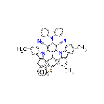 Cc1ccc2c(c1)c1cc(C)ccc1n2-c1c(C#N)c(-n2c3ccccc3c3ccccc32)c(C#N)c(-n2c3ccc(C)cc3c3cc(C)ccc32)c1-c1ccc2sc3ccccc3c2c1